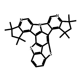 CC1(C)CC(C)(C)c2c1ncc1c2c2c3sc4cccc5sc(c3c45)c3c4c5c(ncc4n1c23)C(C)(C)CC5(C)C